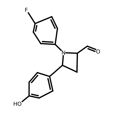 O=CC1CC(c2ccc(O)cc2)N1c1ccc(F)cc1